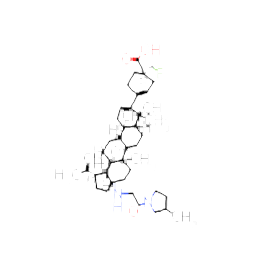 C=C(C)[C@@H]1CC[C@]2(NCC(=O)N3CCC(C)C3)CC[C@]3(C)[C@H](CC[C@@H]4[C@@]5(C)CC=C(C6=CC[C@](CF)(C(=O)O)CC6)C(C)(C)[C@@H]5CC[C@]43C)[C@@H]12